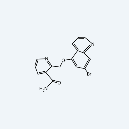 NC(=O)c1cccnc1COc1cc(Br)cc2ncccc12